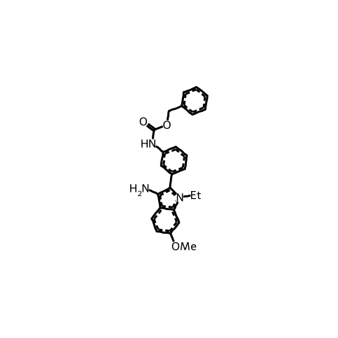 CCn1c(-c2cccc(NC(=O)OCc3ccccc3)c2)c(N)c2ccc(OC)cc21